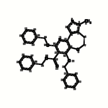 Cn1ncc2c1CCOc1c-2nc(OCc2ccccc2)c(C(=O)OCc2ccccc2)c1OCc1ccccc1